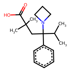 CC(C)C(CC(C)(C)C(=O)O)(c1ccccc1)N1CCC1